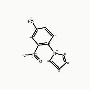 O=[N+]([O-])c1cc(O)ccc1-n1cccc1